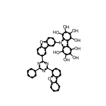 Oc1c(O)c(O)c2c(c1O)c1c(O)c(O)c(O)c(O)c1n2-c1ccc2oc3ccc(-c4nc(-c5ccccc5)nc(-c5cccc6c5oc5ccccc56)n4)cc3c2c1